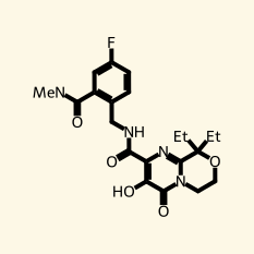 CCC1(CC)OCCn2c1nc(C(=O)NCc1ccc(F)cc1C(=O)NC)c(O)c2=O